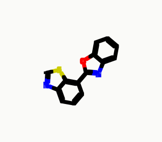 [c]1nc2cccc(-c3nc4ccccc4o3)c2s1